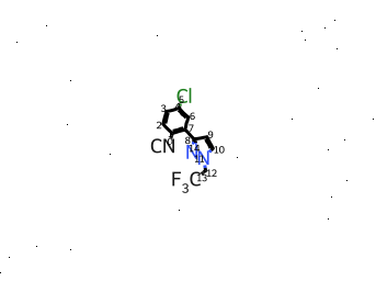 N#Cc1ccc(Cl)cc1-c1ccn(CC(F)(F)F)n1